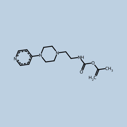 C=C(C)OC(=O)NCCN1CCN(c2ccncc2)CC1